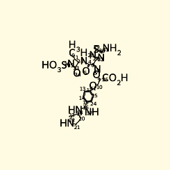 C[C@H]1[C@H](NC(=O)/C(=N\O[C@@H](COc2ccc(C(=N)N[C@@H]3CCNC3)cc2)C(=O)O)c2nsc(N)n2)C(=O)N1S(=O)(=O)O